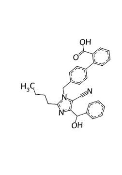 CCCCc1nc(C(O)c2ccccc2)c(C#N)n1Cc1ccc(-c2ccccc2C(=O)O)cc1